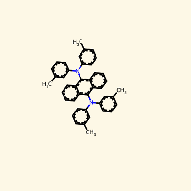 Cc1cccc(N(c2cccc(C)c2)c2c3ccccc3c(N(c3cccc(C)c3)c3cccc(C)c3)c3ccccc23)c1